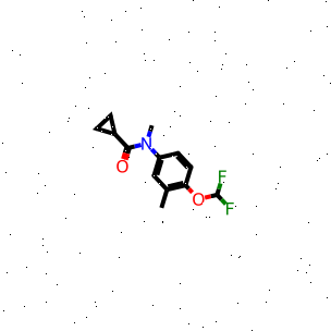 Cc1cc(N(C)C(=O)C2CC2)ccc1OC(F)F